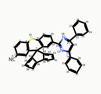 N#Cc1ccc2c(c1)C1(c3cc(-c4nc(-c5ccccc5)cc(-c5ccccc5)n4)ccc3S2)c2ccccc2-c2ccccc21